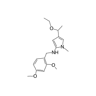 CCOC(C)c1cc(NCc2ccc(OC)cc2OC)n(C)c1